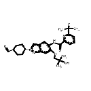 CC(C)(O)COc1cc2nn([C@H]3CC[C@H](C=O)CC3)cc2cc1NC(=O)c1cccc(C(C)(C)F)n1